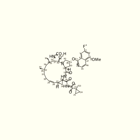 COc1cc(F)cc2c(O[C@@H]3C[C@H]4C(=O)N[C@]5(C(=O)NS(=O)(=O)C6(C)CC6)C[C@H]5C=CCC[C@@H](C)C[C@@H](C)[C@H](NC(=O)O)C(=O)N4C3)nccc12